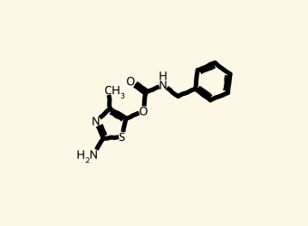 Cc1nc(N)sc1OC(=O)NCc1ccccc1